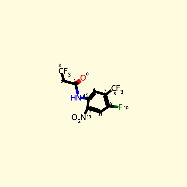 O=C(CC(F)(F)F)Nc1cc(C(F)(F)F)c(F)cc1[N+](=O)[O-]